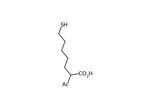 CC(=O)C(CCCCCS)C(=O)O